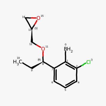 Bc1c(Cl)cccc1[C@@H](CC)OC[C@H]1CO1